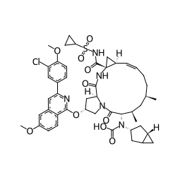 COc1ccc2c(O[C@@H]3C[C@H]4C(=O)N[C@]5(C(=O)NS(=O)(=O)C6CC6)C[C@H]5/C=C\CC[C@@H](C)C[C@@H](C)[C@H](N(C(=O)O)[C@H]5CC6C[C@H]6C5)C(=O)N4C3)nc(-c3ccc(OC)c(Cl)c3)cc2c1